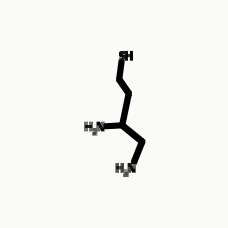 NCC(N)CCS